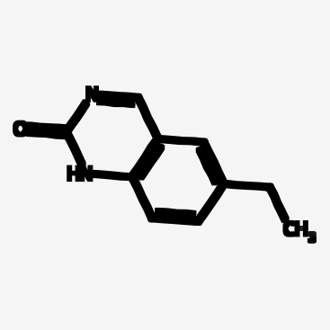 CCc1ccc2[nH]c(=O)ncc2c1